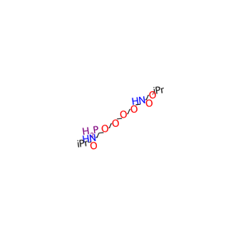 CC(C)OCC(=O)NCCOCCOCCOCCOCC(P)CNC(=O)C(C)C